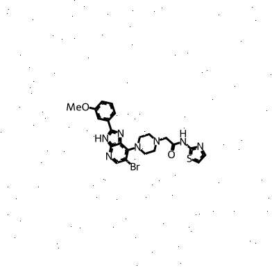 COc1cccc(-c2nc3c(N4CCN(CC(=O)Nc5nccs5)CC4)c(Br)cnc3[nH]2)c1